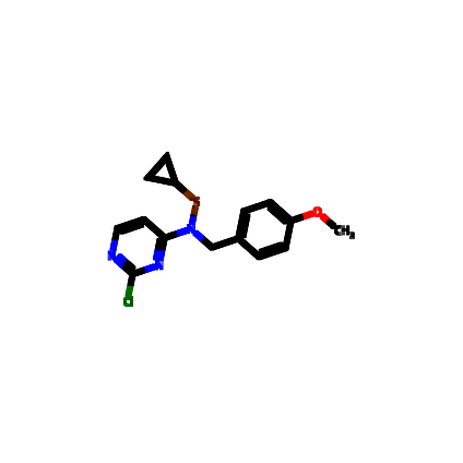 COc1ccc(CN(SC2CC2)c2ccnc(Cl)n2)cc1